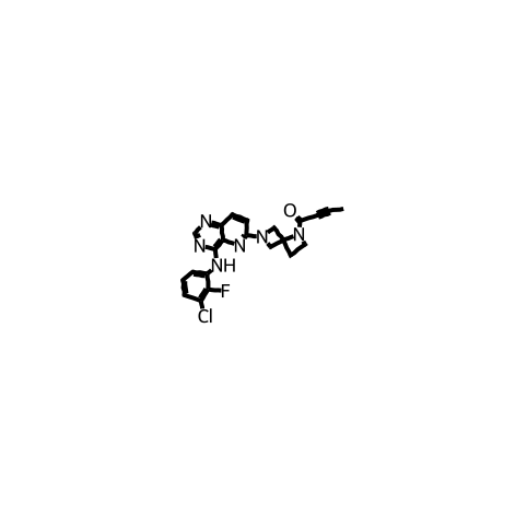 CC#CC(=O)N1CCC12CN(c1ccc3ncnc(Nc4cccc(Cl)c4F)c3n1)C2